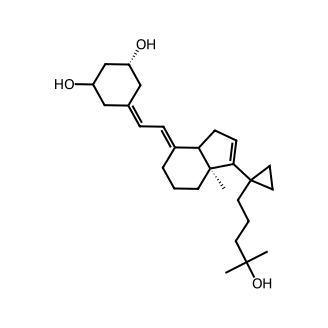 CC(C)(O)CCCC1(C2=CCC3/C(=C/C=C4/CC(O)C[C@H](O)C4)CCC[C@]23C)CC1